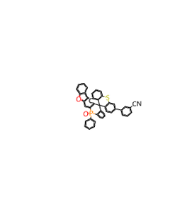 N#Cc1cccc(-c2ccc3c(c2)Sc2ccccc2C32c3ccccc3P(=O)(c3ccccc3)c3cc4oc5ccccc5c4cc32)c1